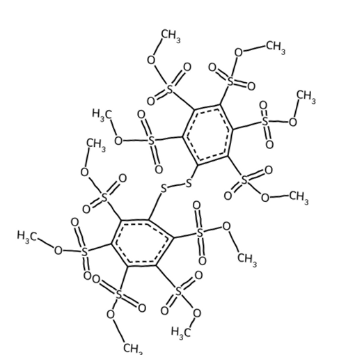 COS(=O)(=O)c1c(SSc2c(S(=O)(=O)OC)c(S(=O)(=O)OC)c(S(=O)(=O)OC)c(S(=O)(=O)OC)c2S(=O)(=O)OC)c(S(=O)(=O)OC)c(S(=O)(=O)OC)c(S(=O)(=O)OC)c1S(=O)(=O)OC